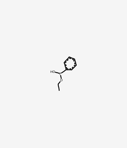 CCOP(O)c1ccccc1